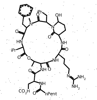 CCCCCC(=O)NC(CC(=O)O)C(=O)NC1C(=O)NC(CCCN=C(N)N)C(=O)NC2CCC(O)N(C2=O)C(CC(C)C)C(=O)N(C)C(Cc2ccccc2)C(=O)NC(C(C)C)C(=O)OC1C